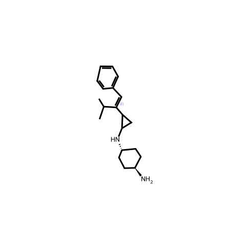 CC(C)/C(=C\c1ccccc1)C1CC1N[C@H]1CC[C@H](N)CC1